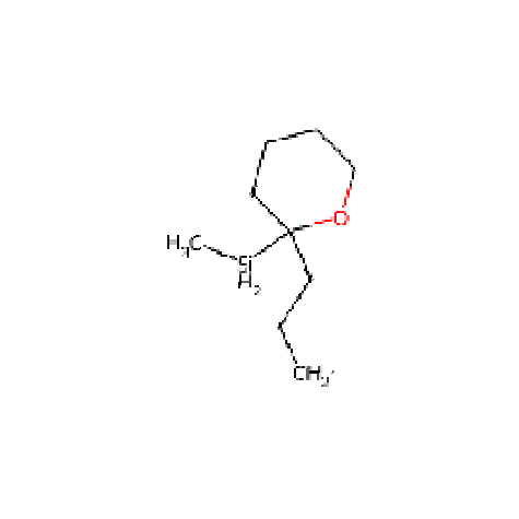 [CH2]CCC1([SiH2]C)CCCCO1